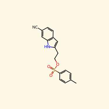 Cc1ccc(S(=O)(=O)OCCc2cc3ccc(C#N)cc3[nH]2)cc1